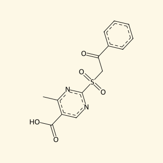 Cc1nc(S(=O)(=O)CC(=O)c2ccccc2)ncc1C(=O)O